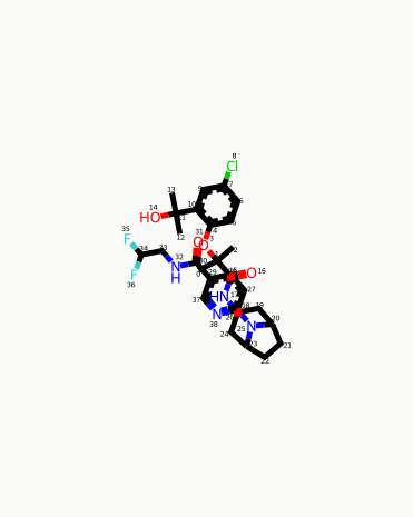 CC(C)(Oc1ccc(Cl)cc1C(C)(C)O)C(=O)NC1CC2CCC(C1)N2c1ccc(C(=O)NCC(F)F)cn1